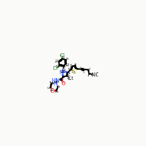 [C-]#[N+]CCC#Cc1ccc(-c2c(CC)c(C(=O)NN3CCOCC3)nn2-c2ccc(Cl)cc2Cl)s1